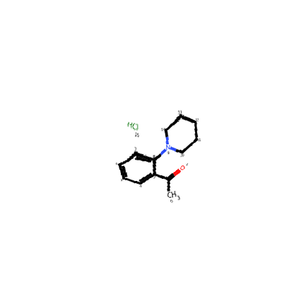 CC(=O)c1ccccc1N1CCCCC1.Cl